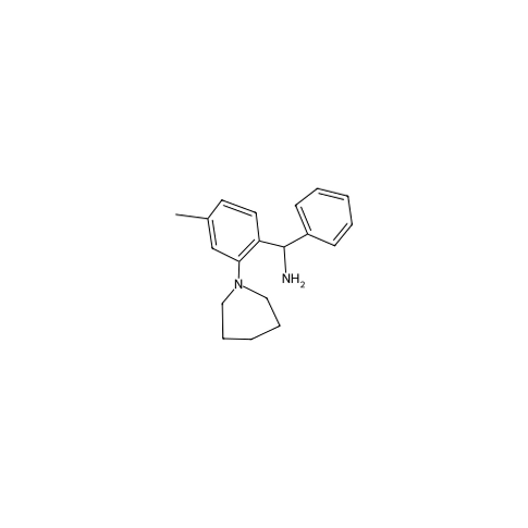 Cc1ccc(C(N)c2ccccc2)c(N2CCCCC2)c1